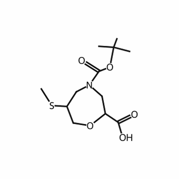 CSC1COC(C(=O)O)CN(C(=O)OC(C)(C)C)C1